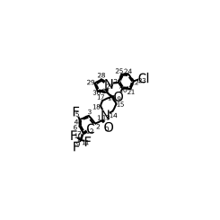 O=C(c1cc(F)cc(C(F)(F)F)c1)N1CCC2(CC1)Oc1cc(Cl)ccc1-n1cccc12